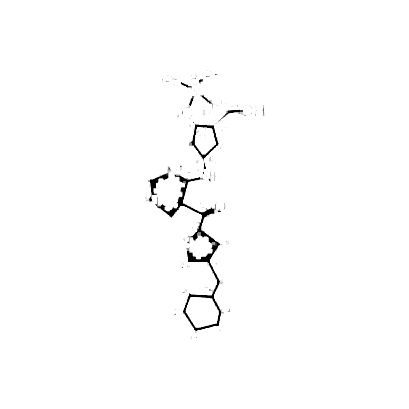 CC(C)[Si](O[C@H]1C[C@H](Nc2ncncc2C(=O)c2cc(CC3CCCCC3)cs2)C[C@@H]1CO)(C(C)C)C(C)C